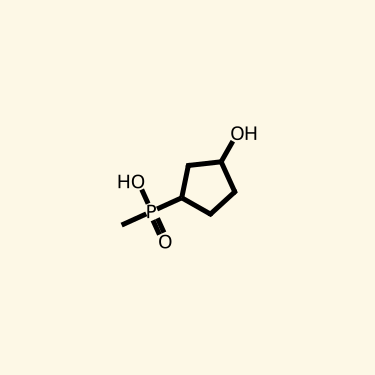 CP(=O)(O)C1CCC(O)C1